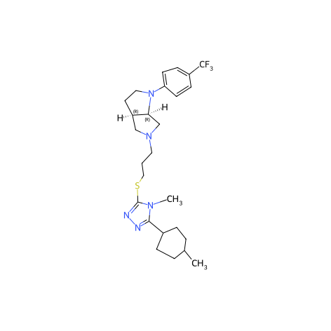 CC1CCC(c2nnc(SCCCN3C[C@H]4CCN(c5ccc(C(F)(F)F)cc5)[C@H]4C3)n2C)CC1